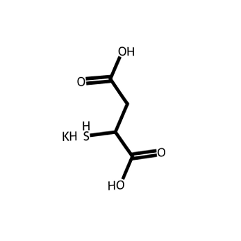 O=C(O)CC(S)C(=O)O.[KH]